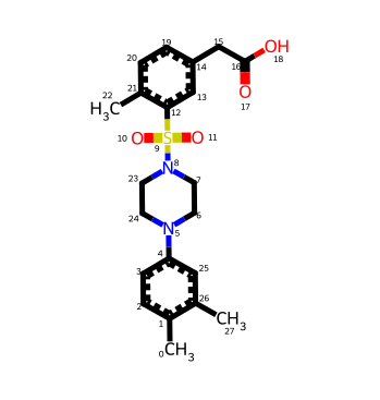 Cc1ccc(N2CCN(S(=O)(=O)c3cc(CC(=O)O)ccc3C)CC2)cc1C